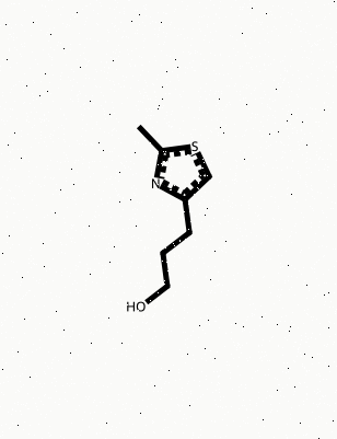 Cc1nc(CCCO)cs1